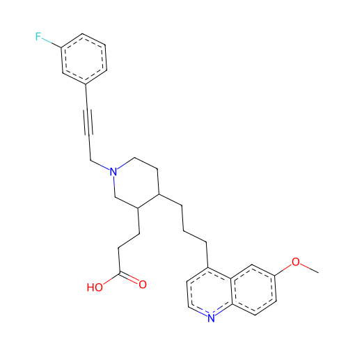 COc1ccc2nccc(CCCC3CCN(CC#Cc4cccc(F)c4)CC3CCC(=O)O)c2c1